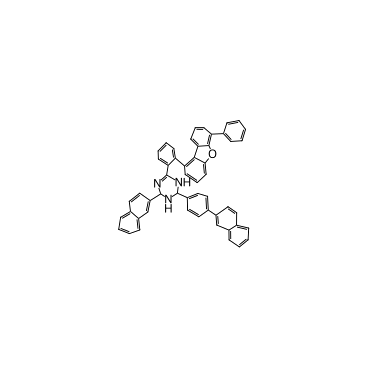 c1ccc(-c2cccc3c2oc2cccc(-c4ccccc4C4=NC(c5ccc6ccccc6c5)NC(c5ccc(-c6ccc7ccccc7c6)cc5)N4)c23)cc1